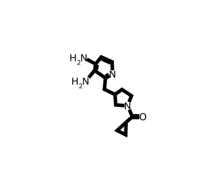 Nc1ccnc(CC2CCN(C(=O)C3CC3)C2)c1N